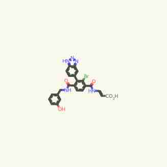 O=C(O)C=CNC(=O)c1ccc(C(=O)NCc2cccc(O)c2)c(-c2ccc3[nH]nnc3c2)c1Br